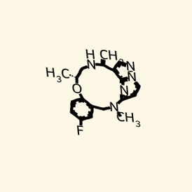 C=C1NC[C@@H](C)Oc2ccc(F)cc2CN(C)c2ccn3ncc1c3n2